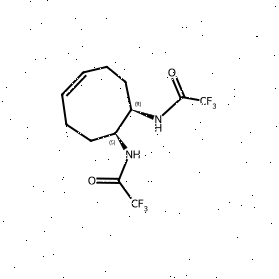 O=C(N[C@H]1CCC=CCC[C@H]1NC(=O)C(F)(F)F)C(F)(F)F